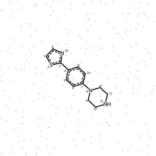 c1csc(-c2ccc(N3CCNCC3)cc2)n1